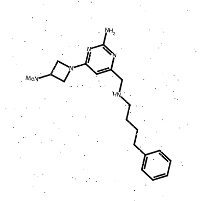 CNC1CN(c2cc(CNCCCCc3ccccc3)nc(N)n2)C1